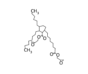 CCCCCCCCC1C(CCCCCC)CCC(CCCCCCCC(=O)OCC2CO2)C1C(=O)OCC1CO1